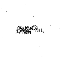 CC1(CN)CCN(c2cnc3c(N4CCOc5ccccc54)n[nH]c3n2)CC1